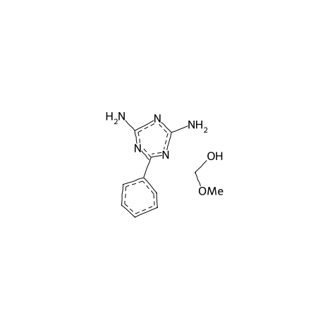 COCO.Nc1nc(N)nc(-c2ccccc2)n1